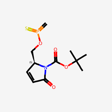 C=P(=S)OC[C@@H]1C=CC(=O)N1C(=O)OC(C)(C)C